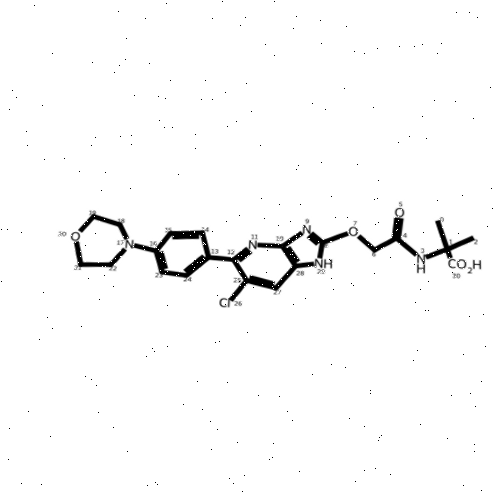 CC(C)(NC(=O)COc1nc2nc(-c3ccc(N4CCOCC4)cc3)c(Cl)cc2[nH]1)C(=O)O